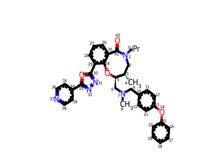 CC(C)N1C[C@H](C)[C@@H](CN(C)Cc2ccc(Oc3ccccc3)cc2)Oc2c(cccc2-c2nnc(-c3ccncc3)o2)C1=O